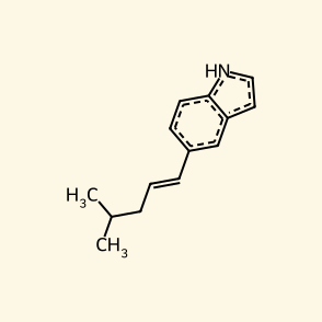 CC(C)C/C=C/c1ccc2[nH]ccc2c1